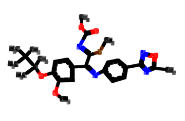 COC(=O)N=C(SC)C(=Nc1ccc(-c2noc(C)n2)cc1)c1ccc(O[Si](C)(C)C(C)(C)C)c(OC)c1